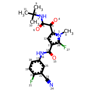 Cn1c(C(=O)C(=O)NC(C)(C)C)cc(C(=O)Nc2ccc(F)c(C#N)c2)c1F